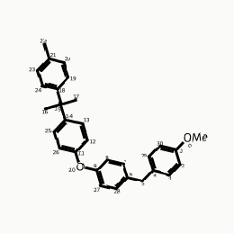 COc1ccc(Cc2ccc(Oc3ccc(C(C)(C)c4ccc(C)cc4)cc3)cc2)cc1